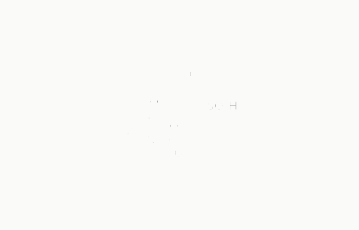 O=C(OCCS(=O)(=O)O)C12CC3CC(CC(OCC4CO4)(C3)C1)C2